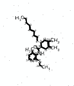 CCCCCCCCC[C@@H]1CC(C)=C(C)C[C@H]1C(=O)Nc1c(C)ccnc1SCC